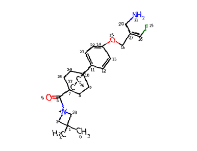 CC1(C)CN(C(=O)C23CCC(c4ccc(OC/C(=C/F)CN)cc4)(CC2)CC3)C1